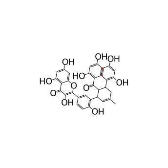 CC1=CC(c2cc(-c3oc4cc(O)cc(O)c4c(=O)c3O)ccc2O)C(C(=O)c2c#cc(O)cc2O)C(C2=C(O)C=C(O)CC2)C1